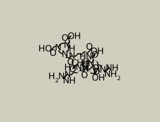 CC(=O)N[C@@H](CCCNC(=N)N)C(=O)N[C@@H](CC(=O)O)C(=O)N[C@@H](CCCNC(=N)N)C(=O)N[C@@H](CCCCNC(=O)CN1CCN(CC(=O)O)CCN(CC(=O)O)CC1)C(=O)O